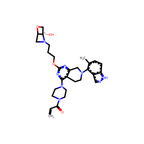 C=CC(=O)N1CCN(c2nc(OCCCN3CC4OC[C@]43O)nc3c2CCN(c2c(C)ccc4[nH]ncc24)C3)CC1